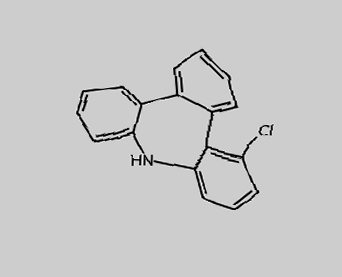 Clc1cccc2c1-c1ccccc1-c1ccccc1N2